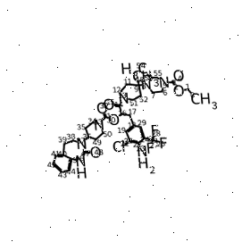 CCOC(=O)N1CCN(C2(C)CCN(C(=O)C(Cc3cc(Cl)c(N)c(C(F)(F)F)c3)OC(=O)N3CCC(N4CCc5ccccc5NC4=O)CC3)CC2)C(C)C1